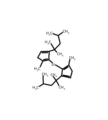 CC1=[C]([Zn][C]2=C(C)CC=C2C(C)(C)CC(C)C)C(C(C)(C)CC(C)C)=CC1